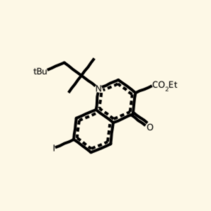 CCOC(=O)c1cn(C(C)(C)CC(C)(C)C)c2cc(I)ccc2c1=O